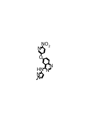 Cn1ccc(Nc2ncnc3ccc(Oc4ccc([N+](=O)[O-])nc4)cc23)n1